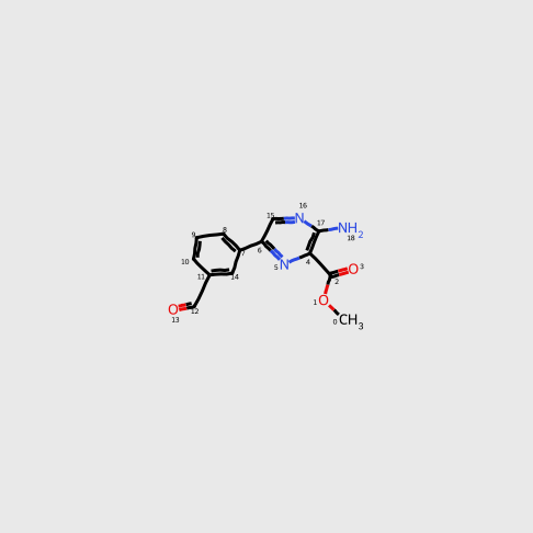 COC(=O)c1nc(-c2cccc(C=O)c2)cnc1N